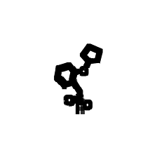 O=[SH](=O)Cc1[c]cccc1OC1CCCC1